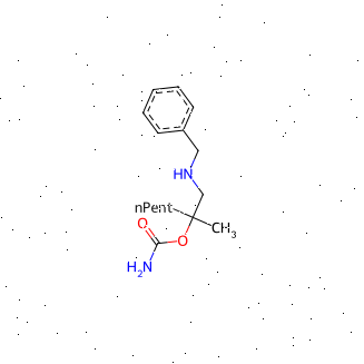 CCCCCC(C)(CNCc1ccccc1)OC(N)=O